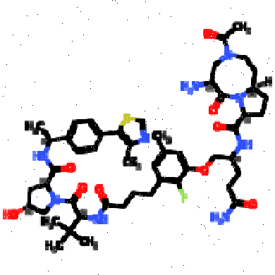 CC(=O)N1CC[C@H]2CC[C@@H](C(=O)N[C@@H](CCC(N)=O)COc3cc(C)cc(CCCC(=O)N[C@H](C(=O)N4C[C@H](O)C[C@H]4C(=O)N[C@@H](C)c4ccc(-c5scnc5C)cc4)C(C)(C)C)c3F)N2C(=O)[C@@H](N)C1